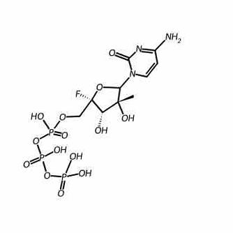 C[C@]1(O)C(n2ccc(N)nc2=O)O[C@](F)(COP(=O)(O)OP(=O)(O)OP(=O)(O)O)[C@H]1O